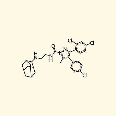 Cc1c(-c2ccc(Cl)cc2)c(-c2ccc(Cl)cc2Cl)nn1C(=O)NCCNC1C2CC3CC(C2)CC1C3